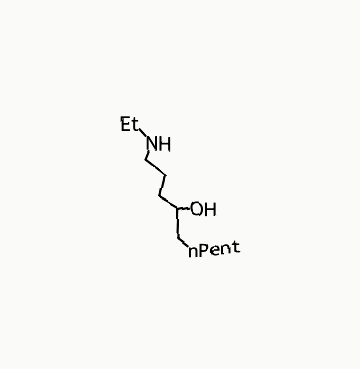 CCCCCCC(O)CCCNCC